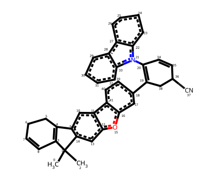 CC1(C)C2=C(CCC=C2)c2cc3c(cc21)oc1cc(C2=C(n4c5ccccc5c5ccccc54)C=CC(C#N)C2)ccc13